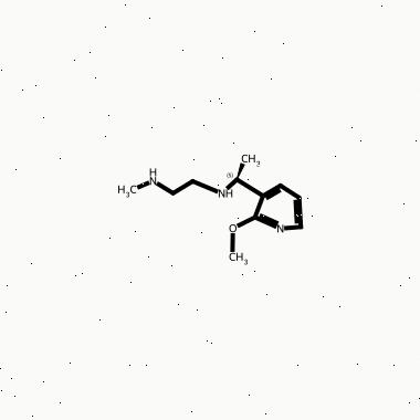 CNCCN[C@@H](C)c1cccnc1OC